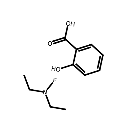 CCN(F)CC.O=C(O)c1ccccc1O